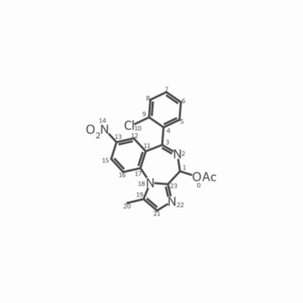 CC(=O)OC1N=C(c2ccccc2Cl)c2cc([N+](=O)[O-])ccc2-n2c(C)cnc21